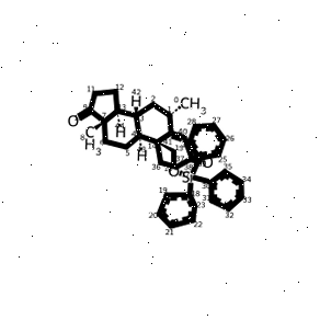 C[C@H]1C[C@@H]2[C@H](CC[C@]3(C)C(=O)CC[C@@H]23)[C@@]2(CO[Si](c3ccccc3)(c3ccccc3)c3ccccc3)CCC(=O)C=C12